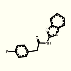 O=C(Cc1ccc(F)cc1)Nc1nc2ccccc2o1